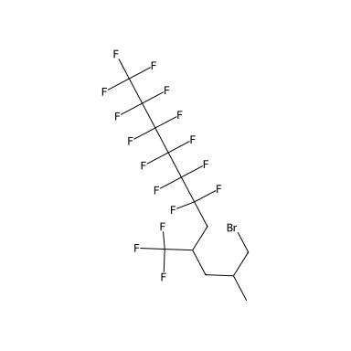 CC(CBr)CC(CC(F)(F)C(F)(F)C(F)(F)C(F)(F)C(F)(F)C(F)(F)F)C(F)(F)F